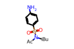 CCC(C)N(C(C)=O)S(=O)(=O)c1ccc(N)cc1